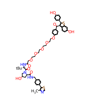 Cc1ncsc1-c1ccc(CNC(=O)C2CC(O)CN2C(=O)[C@@H](NC(=O)COCCOCCOCCOCCOc2ccc(C(=O)c3c(-c4ccc(O)cc4)sc4cc(O)ccc34)cc2)C(C)(C)C)cc1